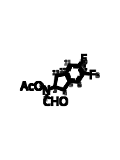 CC(=O)ON(C=O)C1Cc2cc(F)c(F)cc2C1